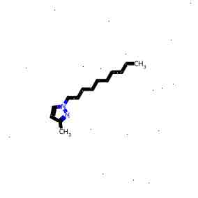 CCCCCCCCCCn1ccc(C)n1